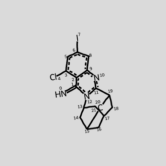 N=c1c2c(Cl)cc(I)cc2nc2n1C1CC3CC(CC2C3)C1